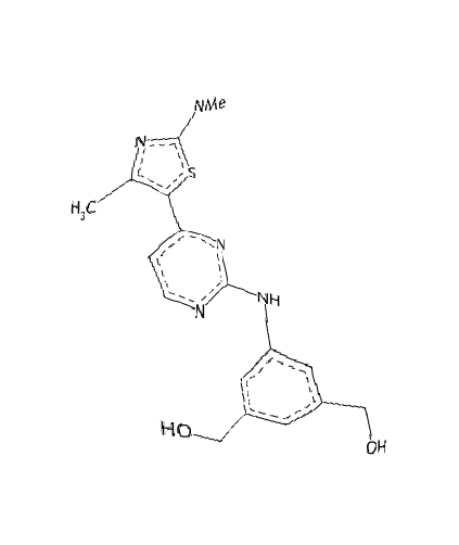 CNc1nc(C)c(-c2ccnc(Nc3cc(CO)cc(CO)c3)n2)s1